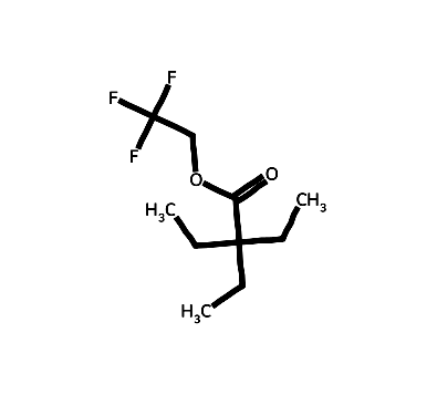 CCC(CC)(CC)C(=O)OCC(F)(F)F